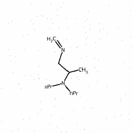 C=NCC(C)N(CCC)CCC